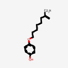 C=C(CCCCCCOc1ccc(O)cc1)C(=O)O